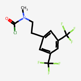 CN(CCc1cc(C(F)(F)F)cc(C(F)(F)F)c1)C(=O)Cl